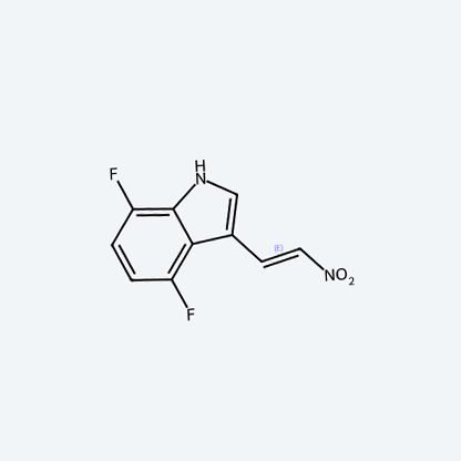 O=[N+]([O-])/C=C/c1c[nH]c2c(F)ccc(F)c12